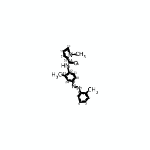 Cc1ccccc1/N=N/c1ccc(NC(=O)c2cccn2C)c(C)c1